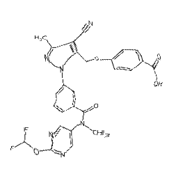 Cc1nn(-c2cccc(C(=O)N(C)c3cnc(OC(F)F)nc3)c2)c(COc2ccc(C(=O)O)cc2)c1C#N